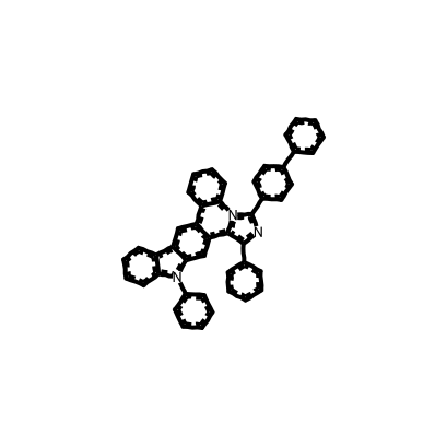 c1ccc(-c2ccc(-c3nc(-c4ccccc4)c4c5cc6c(cc5c5ccccc5n34)c3ccccc3n6-c3ccccc3)cc2)cc1